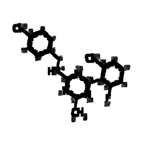 Cc1nc(NCc2ccc(Cl)cc2)nc(-c2c(F)cccc2Cl)n1